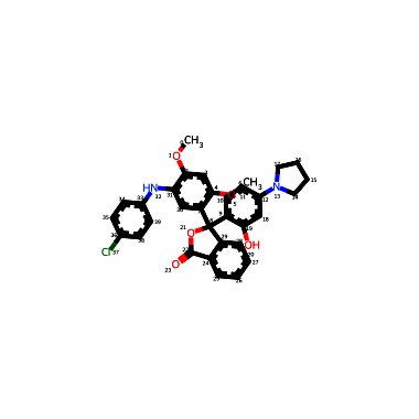 COc1cc(OC)c(C2(c3ccc(N4CCCC4)cc3O)OC(=O)c3ccccc32)cc1Nc1ccc(Cl)cc1